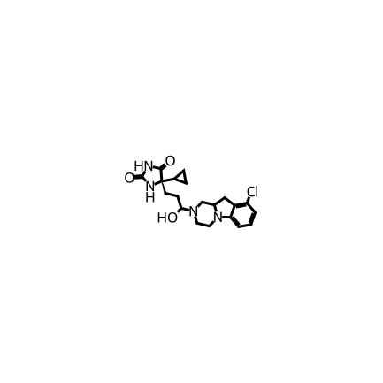 O=C1NC(=O)[C@](CCC(O)N2CCN3c4cccc(Cl)c4CC3C2)(C2CC2)N1